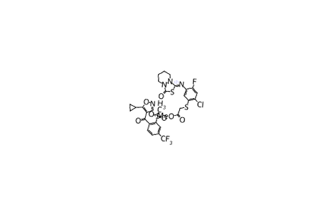 COC(=O)CSc1cc(/N=c2\sc(=O)n3n2CCCC3)c(F)cc1Cl.CS(=O)(=O)c1cc(C(F)(F)F)ccc1C(=O)c1cnoc1C1CC1